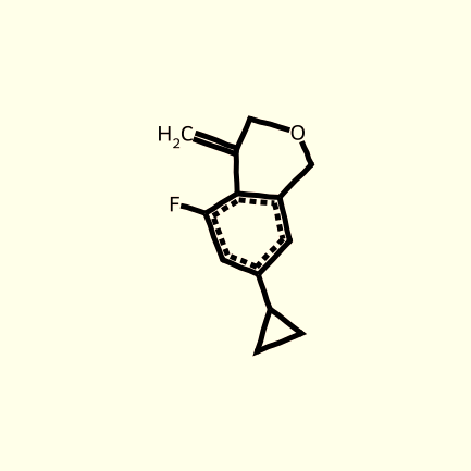 C=C1COCc2cc(C3CC3)cc(F)c21